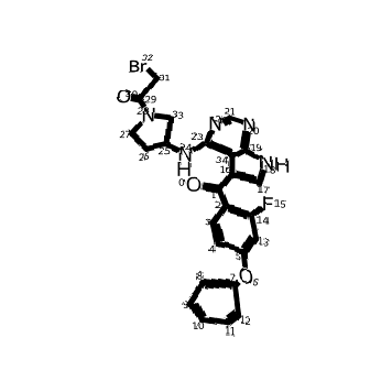 O=C(c1ccc(Oc2ccccc2)cc1F)c1c[nH]c2ncnc(NC3CCN(C(=O)CBr)C3)c12